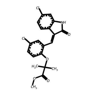 COC(=O)C(C)(C)Oc1ccc(Cl)cc1/C=C1/C(=O)Nc2cc(Cl)ccc21